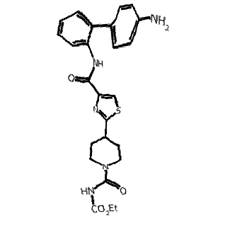 CCOC(=O)NC(=O)N1CCC(c2nc(C(=O)Nc3ccccc3-c3ccc(N)cc3)cs2)CC1